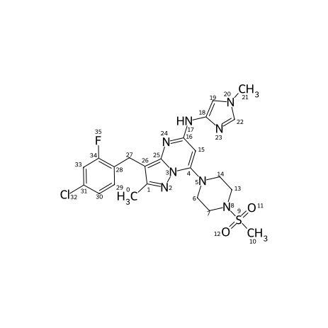 Cc1nn2c(N3CCN(S(C)(=O)=O)CC3)cc(Nc3cn(C)cn3)nc2c1Cc1ccc(Cl)cc1F